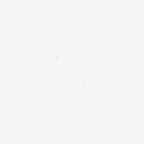 FC(F)=C(F)c1cc(C(F)(F)C(F)(F)F)c(C(F)=C(F)F)cc1C(F)(F)C(F)(F)F